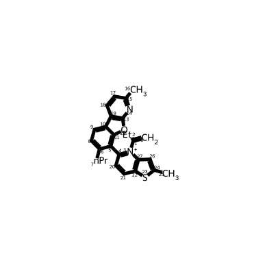 C=C(CC)[n+]1c(-c2c(CCC)ccc3c2oc2nc(C)ccc23)ccc2sc(C)cc21